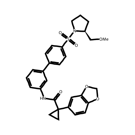 COC[C@@H]1CCCN1S(=O)(=O)c1ccc(-c2cccc(NC(=O)C3(c4ccc5c(c4)OCO5)CC3)c2)cc1